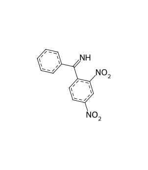 N=C(c1ccccc1)c1ccc([N+](=O)[O-])cc1[N+](=O)[O-]